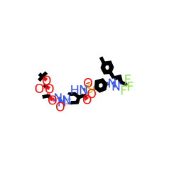 Cc1ccc(-c2cc(C(F)(F)F)nn2-c2ccc(S(=O)(=O)NC(=O)C3CCN([N+]([O-])=NOC(C)OC(=O)OC(C)(C)C)CC3)cc2)cc1